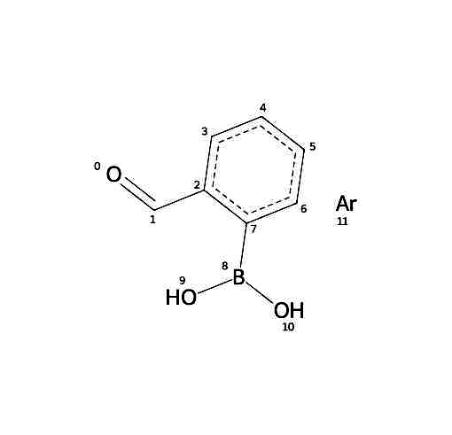 O=Cc1ccccc1B(O)O.[Ar]